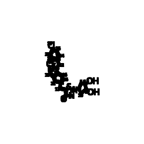 O=C1N=C(N2CC(O)C(O)C2)S/C1=C\c1ccc2c(cnn2Cc2ccc(Cl)cc2C(F)(F)F)c1